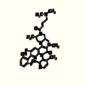 Cc1ccnc(C(C)C)c1-n1c(=O)c2c(c3cc(F)c(-c4c(O)cccc4F)nc31)N1CC(C)N(C(=O)/C=C/CN(C)C)CC1CN2C